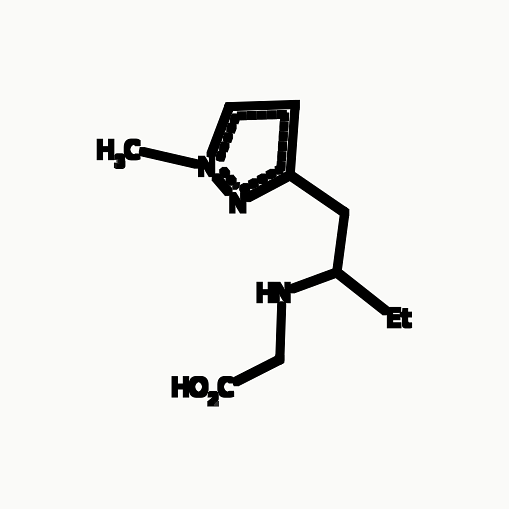 CCC(Cc1ccn(C)n1)NCC(=O)O